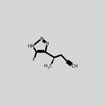 C#CC[C@@H](C)c1nn[nH]c1F